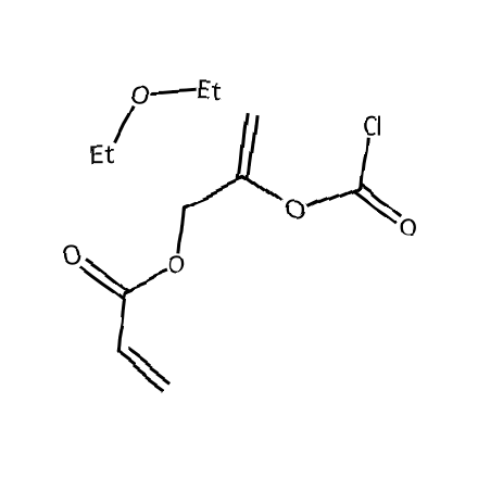 C=CC(=O)OCC(=C)OC(=O)Cl.CCOCC